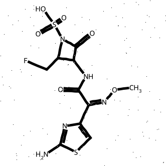 CO/N=C(\C(=O)NC1C(=O)N(S(=O)(=O)O)C1CF)c1csc(N)n1